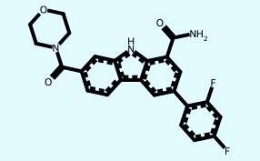 NC(=O)c1cc(-c2ccc(F)cc2F)cc2c1[nH]c1cc(C(=O)N3CCOCC3)ccc12